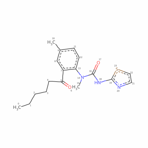 CCCCCC(=O)c1cc(C)ccc1N(C)C(=O)Nc1nccs1